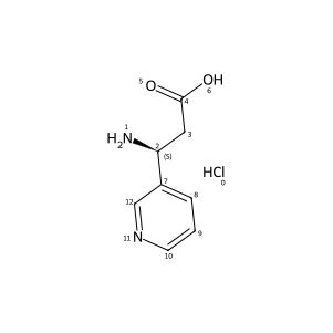 Cl.N[C@@H](CC(=O)O)c1cccnc1